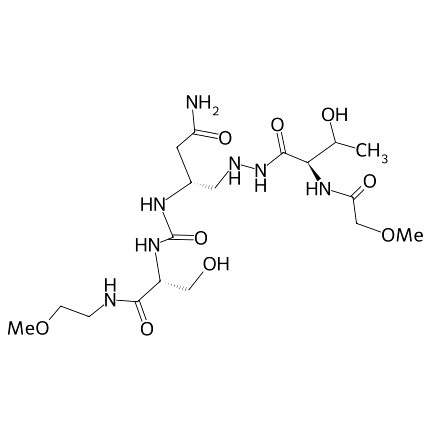 COCCNC(=O)[C@@H](CO)NC(=O)N[C@@H](CNNC(=O)[C@H](NC(=O)COC)C(C)O)CC(N)=O